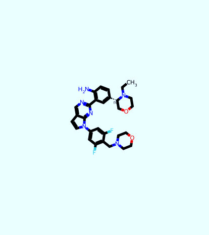 CCN1CCOC[C@@H]1c1ccc(N)c(-c2ncc3ccn(-c4cc(F)c(CN5CCOCC5)c(F)c4)c3n2)c1